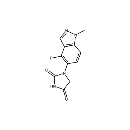 Cn1ncc2c(F)c(N3CC(=O)NC3=O)ccc21